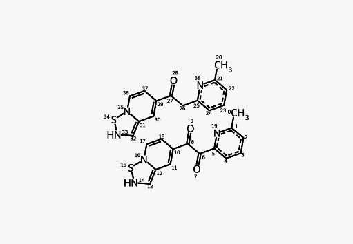 Cc1cccc(C(=O)C(=O)C2=CC3=CNSN3C=C2)n1.Cc1cccc(CC(=O)C2=CC3=CNSN3C=C2)n1